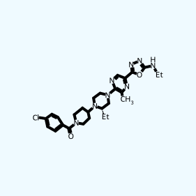 CCNc1nnc(-c2cnc(N3CCN(C4CCN(C(=O)c5ccc(Cl)cc5)CC4)[C@@H](CC)C3)c(C)n2)o1